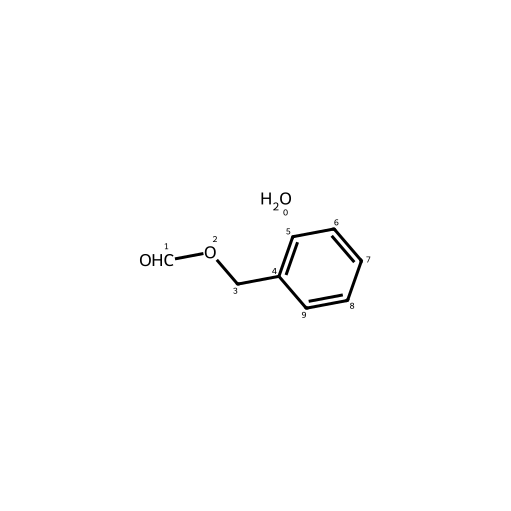 O.O=COCc1ccccc1